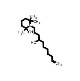 C=CCCCCCC(O)CCCN1C(C)(C)CCCC1(C)C